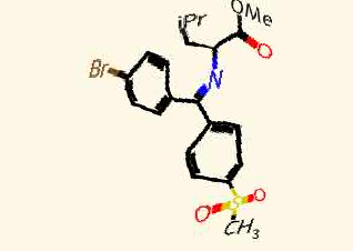 COC(=O)[C@H](CC(C)C)N=C(c1ccc(Br)cc1)c1ccc(S(C)(=O)=O)cc1